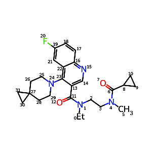 CCN(CCN(C)C(=O)C1CC1)C(=O)c1cnc2ccc(F)cc2c1N1CCC2(CC1)CC2